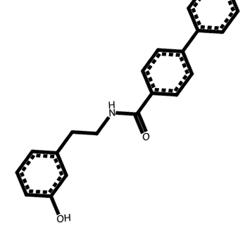 O=C(NCCc1cccc(O)c1)c1ccc(-c2ccncc2)cc1